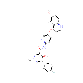 CCn1cc(C(=O)Nc2ccc(Oc3ccnc4ccc(OC)cc34)cn2)c(=O)c(-c2ccc(F)cc2)c1